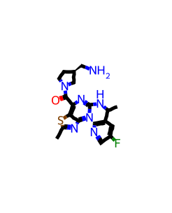 Cc1nc2nc(NC(C)c3cncc(F)c3)nc(C(=O)N3CC[C@@H](CN)C3)c2s1